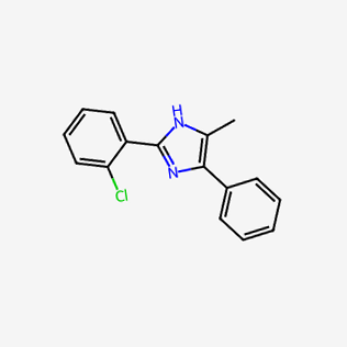 Cc1[nH]c(-c2ccccc2Cl)nc1-c1ccccc1